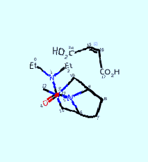 CCN(CC)C(=O)N1C2CCC1CN(C)C2.O=C(O)/C=C\C(=O)O